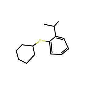 CC(C)c1ccccc1SC1CCCCC1